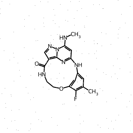 CNc1cc2nc3c(cnn13)C(=O)NCCOc1cc(cc(C)c1F)N2